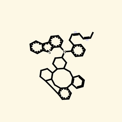 C/C=C\C=C/Cc1ccccc1N(c1cccc2c1sc1ccccc12)C1CCC2C(CC3=C(C=C=C=C3)c3cccc4c3CC3C4CCCC23)C1